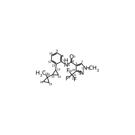 Cn1cc(C(=O)Nc2ccccc2C2CC2C2(C)CC2)c(C(F)(F)F)n1